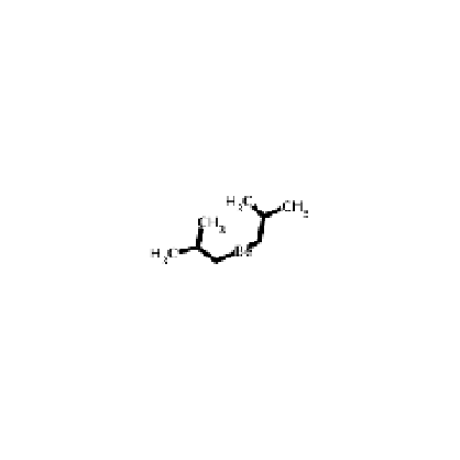 CC(C)[CH2][Be][CH2]C(C)C